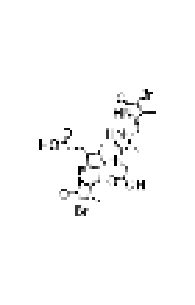 CC1=C(Br)C(=O)N/C1=C\c1[nH]c(Cc2[nH]c(/C=C3\NC(=O)C(Br)=C3C)c(C)c2CCC(=O)O)c(CCC(=O)O)c1C